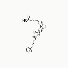 O=C(O)CCC/C=C\C[C@@H]1[C@@H]2CC[C@@H](C2)[C@@H]1CNC(=O)CNCCCCCC1=CC=CCO1